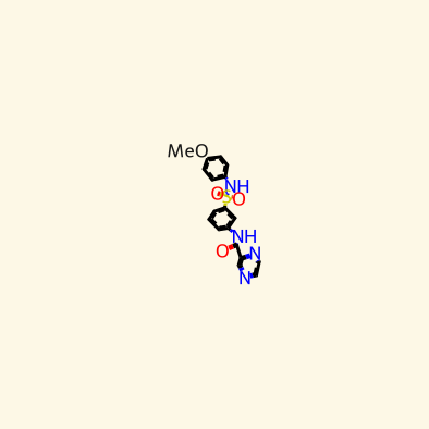 COc1ccc(NS(=O)(=O)c2cccc(NC(=O)c3cnccn3)c2)cc1